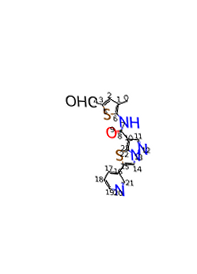 Cc1cc(C=O)sc1NC(=O)c1cnn2cc(-c3cccnc3)sc12